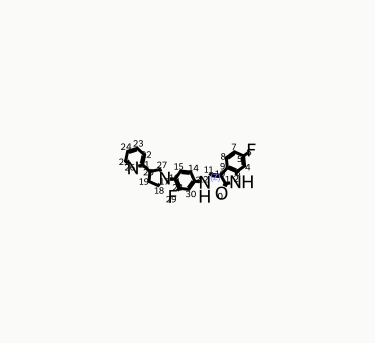 O=C1Nc2cc(F)ccc2/C1=C/Nc1ccc(N2CCC(c3ccccn3)C2)c(F)c1